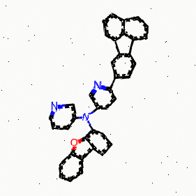 c1cncc(N(c2ccc(-c3ccc4c(c3)-c3cccc5cccc-4c35)nc2)c2cccc3c2oc2ccccc23)c1